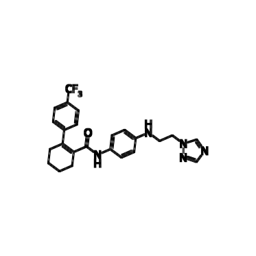 O=C(Nc1ccc(NCCn2cncn2)cc1)C1=C(c2ccc(C(F)(F)F)cc2)CCCC1